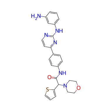 Nc1cccc(Nc2nccc(-c3ccc(NC(=O)C(c4cccs4)N4CCOCC4)cc3)n2)c1